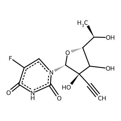 C#C[C@@]1(O)C(O)[C@@H]([C@@H](C)O)O[C@H]1n1cc(F)c(=O)[nH]c1=O